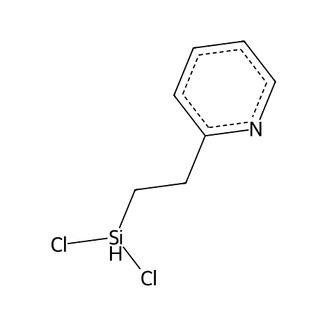 Cl[SiH](Cl)CCc1ccccn1